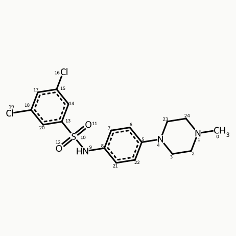 CN1CCN(c2ccc(NS(=O)(=O)c3cc(Cl)cc(Cl)c3)cc2)CC1